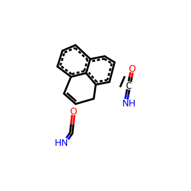 C1=Cc2cccc3cccc(c23)C1.CC.N=C=O.N=C=O